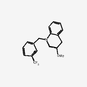 COC1Cc2ccccc2N(Cc2cccc(C(F)(F)F)c2)C1